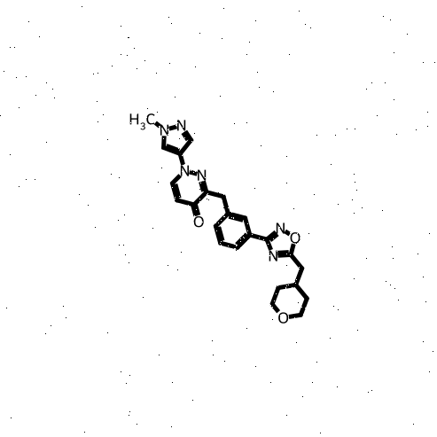 Cn1cc(-n2ccc(=O)c(Cc3cccc(-c4noc(CC5CCOCC5)n4)c3)n2)cn1